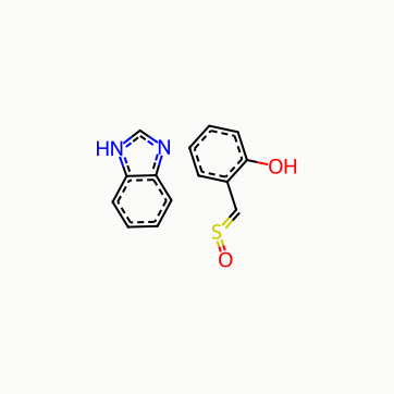 O=S=Cc1ccccc1O.c1ccc2[nH]cnc2c1